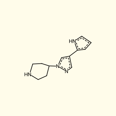 c1c[nH]c(-c2cnn(C3CCNCC3)c2)c1